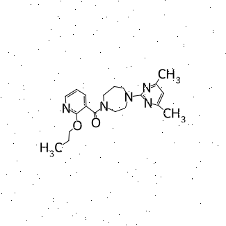 CCCOc1ncccc1C(=O)N1CCCN(c2nc(C)cc(C)n2)CC1